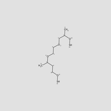 CC(COCCOC(C)CCOS)OS